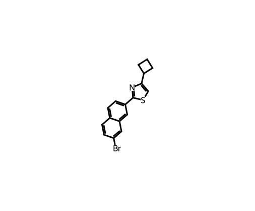 Brc1ccc2ccc(-c3nc(C4CCC4)cs3)cc2c1